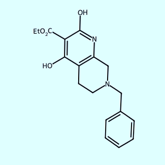 CCOC(=O)c1c(O)nc2c(c1O)CCN(Cc1ccccc1)C2